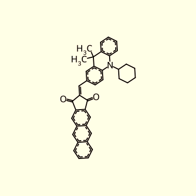 CC1(C)c2ccccc2N(C2CCCCC2)c2ccc(C=C3C(=O)c4cc5cc6ccccc6cc5cc4C3=O)cc21